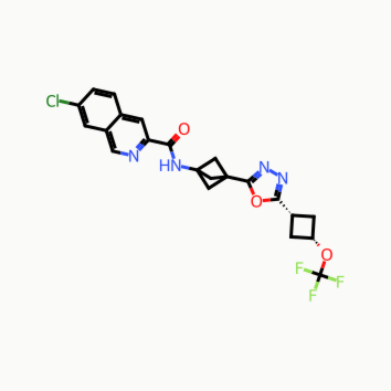 O=C(NC12CC(c3nnc([C@H]4C[C@@H](OC(F)(F)F)C4)o3)(C1)C2)c1cc2ccc(Cl)cc2cn1